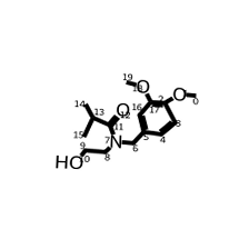 COc1ccc(CN(CCO)C(=O)C(C)C)cc1OC